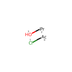 CC(=O)Cl.CC(C)O